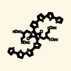 CCCCCCCCCCCCC(CCCCCCCCCC)CN1C(=O)C2=C(C3CC=C(C4=CCC(C5CC=C(C6=CCCS6)S5)S4)S3)N(CC(CCCCCCCCCC)CCCCCCCCCCCC)C(=O)C2=C1c1ccc(-c2ccc(-c3ccc(-c4cccs4)s3)s2)s1